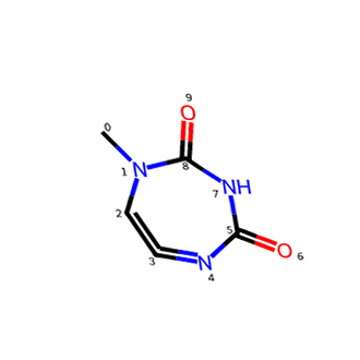 CN1C=C=NC(=O)NC1=O